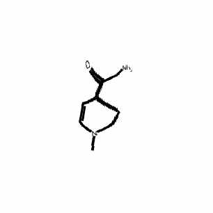 CN1C=CC(C(N)=O)CC1